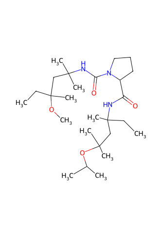 CCC(C)(CC(C)(C)OC(C)C)NC(=O)C1CCCN1C(=O)NC(C)(C)CC(C)(CC)OC